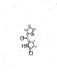 O=C(c1ccc(Cl)[nH]1)c1cccs1